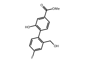 COC(=O)c1ccc(-c2ccc(F)cc2CO)c(O)c1